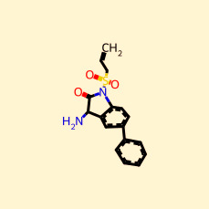 C=CCS(=O)(=O)N1C(=O)C(N)c2cc(-c3ccccc3)ccc21